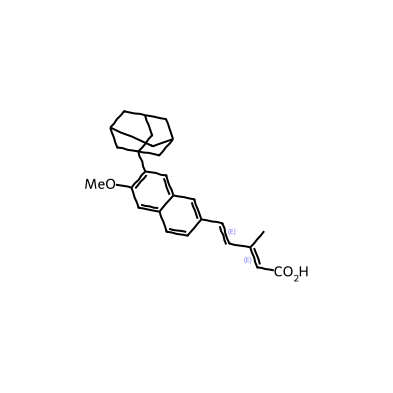 COc1cc2ccc(/C=C/C(C)=C/C(=O)O)cc2cc1C12CC3CC(CC(C3)C1)C2